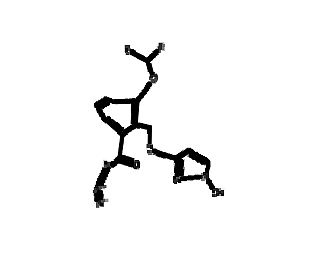 [N-]=[N+]=NC(=O)c1cccc(OC(F)F)c1COc1ccn(O)n1